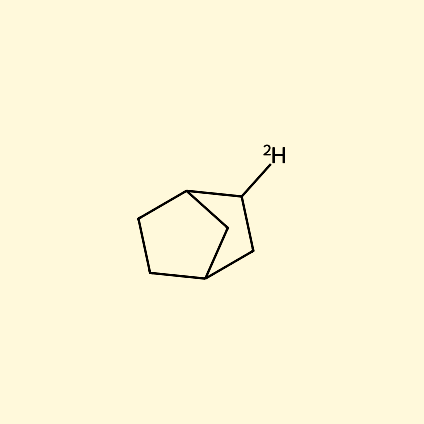 [2H]C1CC2CCC1C2